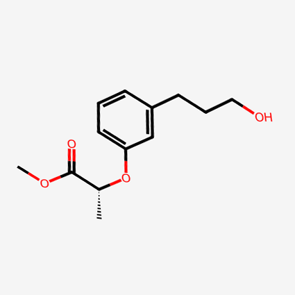 COC(=O)[C@@H](C)Oc1cccc(CCCO)c1